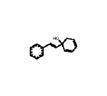 OC1(C=Cc2ccccc2)C=CC=CC1